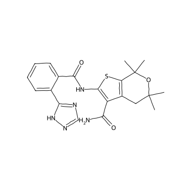 CC1(C)Cc2c(sc(NC(=O)c3ccccc3-c3ncn[nH]3)c2C(N)=O)C(C)(C)O1